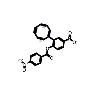 O=C(Oc1ccc([N+](=O)[O-])cc1C1=C/C=C\C#C/C=C\1)c1ccc([N+](=O)[O-])cc1